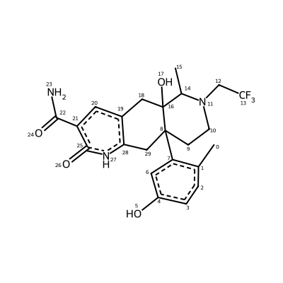 Cc1ccc(O)cc1C12CCN(CC(F)(F)F)C(C)C1(O)Cc1cc(C(N)=O)c(=O)[nH]c1C2